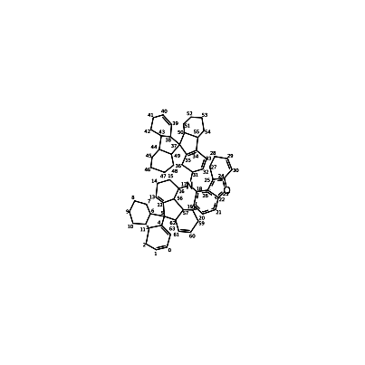 C1=CCCC(C2(C3CCCCC3)C3=CCCC(N(c4cccc5oc6c(c45)CCC=C6)C4C=CC5=C(C4)C4(C6C=CCCC6C6CCCCC64)C4CCCCC54)C3C3CCC=CC32)=C1